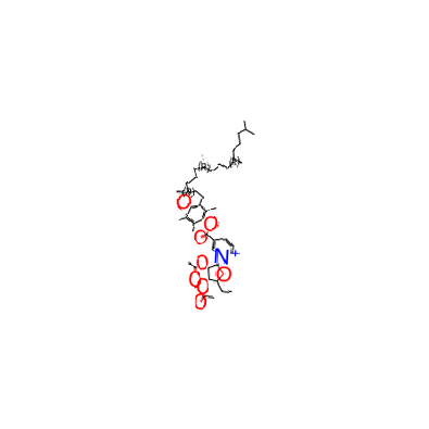 CCC1OC([n+]2cccc(C(=O)Oc3c(C)c(C)c4c(c3C)CC[C@@](C)(CCC[C@H](C)CCC[C@H](C)CCCC(C)C)O4)c2)C(OC(C)=O)C1OC(C)=O